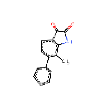 Cc1c(-c2ccccc2)ccc2c1NC(=O)C2=O